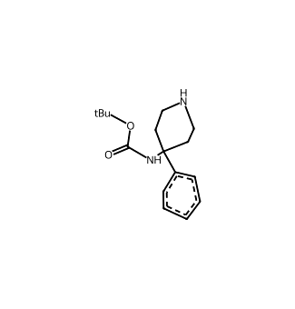 CC(C)(C)OC(=O)NC1(c2ccccc2)CCNCC1